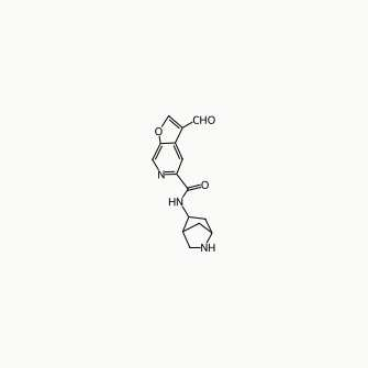 O=Cc1coc2cnc(C(=O)NC3CC4CC3CN4)cc12